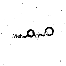 CNCc1cccc(OCCN2CCCCCC2)c1